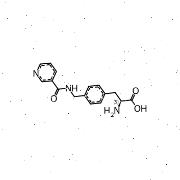 N[C@@H](Cc1ccc(CNC(=O)c2cccnc2)cc1)C(=O)O